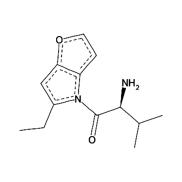 CCc1cc2occc2n1C(=O)[C@@H](N)C(C)C